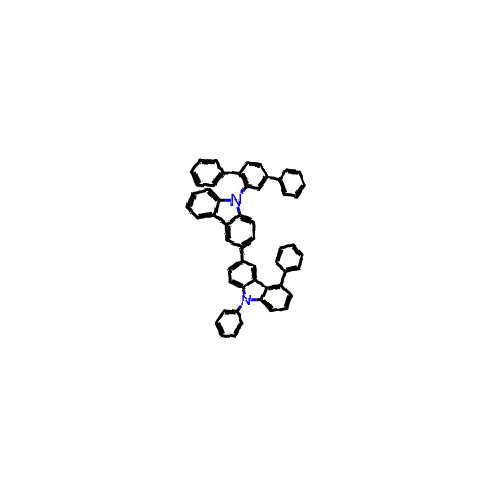 c1ccc(-c2ccc(-c3ccccc3)c(-n3c4ccccc4c4cc(-c5ccc6c(c5)c5c(-c7ccccc7)cccc5n6-c5ccccc5)ccc43)c2)cc1